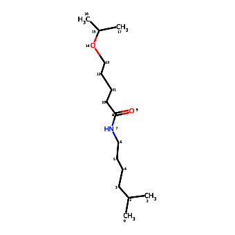 CC(C)CCCCNC(=O)CCCCOC(C)C